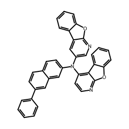 c1ccc(-c2ccc3ccc(N(c4cnc5oc6ccccc6c5c4)c4ccnc5oc6ccccc6c45)cc3c2)cc1